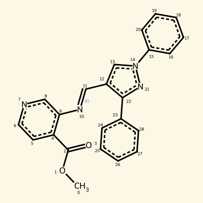 COC(=O)c1ccncc1/N=C/c1cn(-c2ccccc2)nc1-c1ccccc1